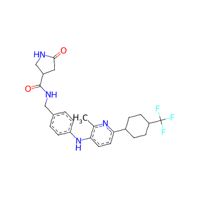 Cc1nc(C2CCC(C(F)(F)F)CC2)ccc1Nc1ccc(CNC(=O)C2CNC(=O)C2)cc1